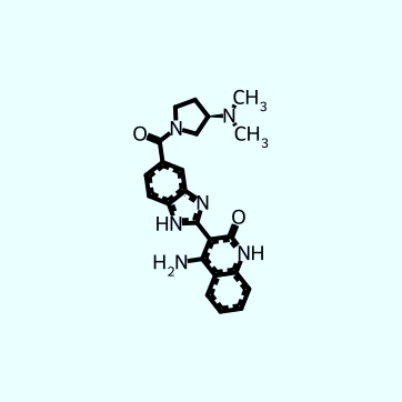 CN(C)[C@@H]1CCN(C(=O)c2ccc3[nH]c(-c4c(N)c5ccccc5[nH]c4=O)nc3c2)C1